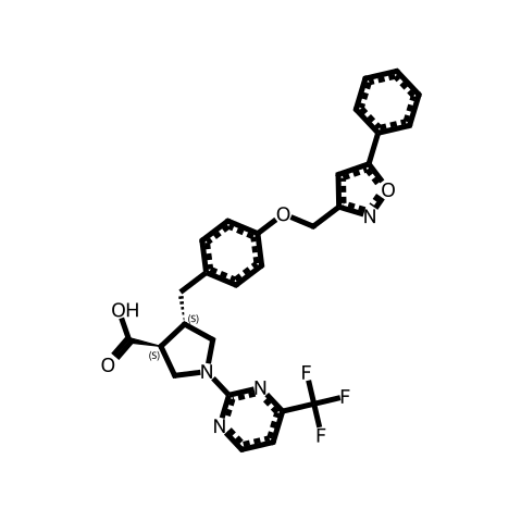 O=C(O)[C@@H]1CN(c2nccc(C(F)(F)F)n2)C[C@H]1Cc1ccc(OCc2cc(-c3ccccc3)on2)cc1